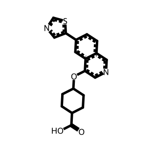 O=C(O)C1CCC(Oc2cncc3ccc(-c4cncs4)cc23)CC1